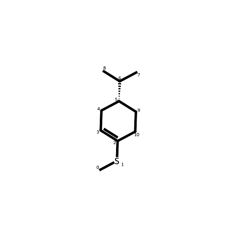 CSC1=CC[C@H](C(C)C)CC1